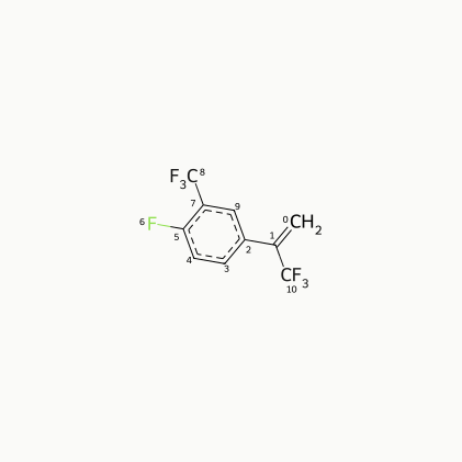 C=C(c1ccc(F)c(C(F)(F)F)c1)C(F)(F)F